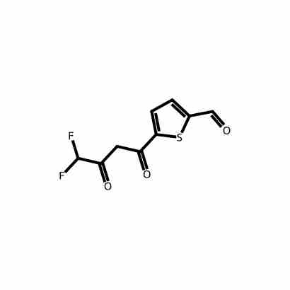 O=Cc1ccc(C(=O)CC(=O)C(F)F)s1